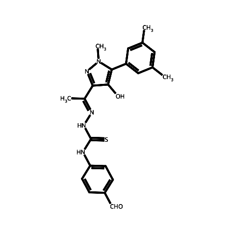 C/C(=N\NC(=S)Nc1ccc(C=O)cc1)c1nn(C)c(-c2cc(C)cc(C)c2)c1O